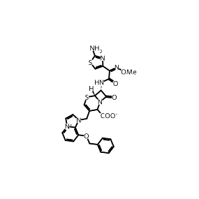 CO/N=C(\C(=O)N[C@@H]1C(=O)N2C(C(=O)[O-])C(Cn3cc[n+]4cccc(OCc5ccccc5)c34)=CS[C@H]12)c1csc(N)n1